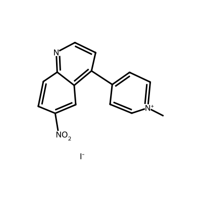 C[n+]1ccc(-c2ccnc3ccc([N+](=O)[O-])cc23)cc1.[I-]